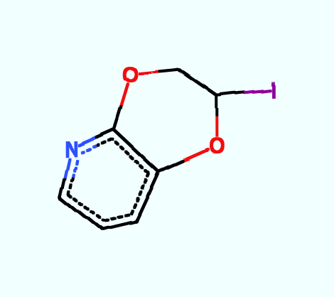 IC1COc2ncccc2O1